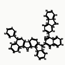 c1ccc(-c2cc3c4ccc5c(c6ccccc6n5-c5nc(-c6ccc7c(c6)sc6ccccc67)c6ccccc6n5)c4oc3c3ccccc23)cc1